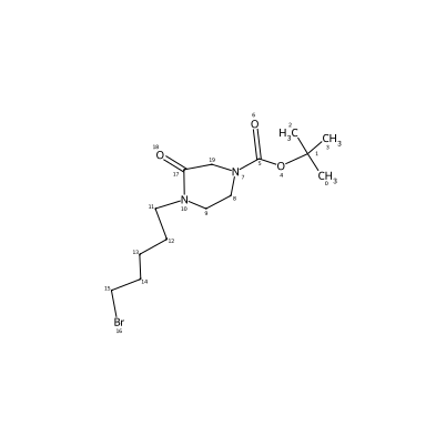 CC(C)(C)OC(=O)N1CCN(CCCCCBr)C(=O)C1